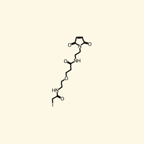 O=C(CI)NCCOCCC(=O)NCCN1C(=O)C=CC1=O